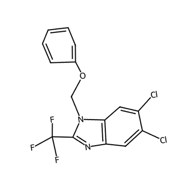 FC(F)(F)c1nc2cc(Cl)c(Cl)cc2n1COc1ccccc1